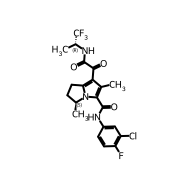 Cc1c(C(=O)C(=O)N[C@H](C)C(F)(F)F)c2n(c1C(=O)Nc1ccc(F)c(Cl)c1)[C@@H](C)CC2